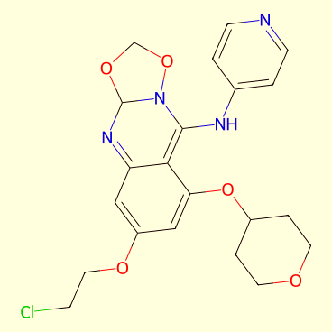 ClCCOc1cc(OC2CCOCC2)c2c(c1)=NC1OCON1C=2Nc1ccncc1